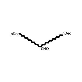 CCCCCCCCCCCCCCCCCCCCCCC(C=O)CCCCCCCCCCCCCCCCCCCCCC